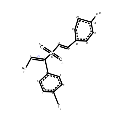 CC(=O)/C=C(\c1ccc(F)cc1)S(=O)(=O)C=Cc1ccc(F)cc1